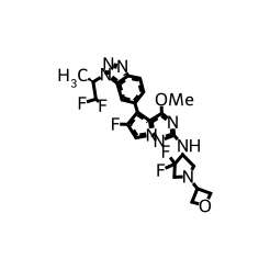 COc1nc(N[C@@H]2CN(C3COC3)CC2(F)F)nn2cc(F)c(-c3ccc4nnn([C@H](C)C(F)F)c4c3)c12